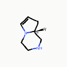 C1=CN2CCNC[C@H]2C1